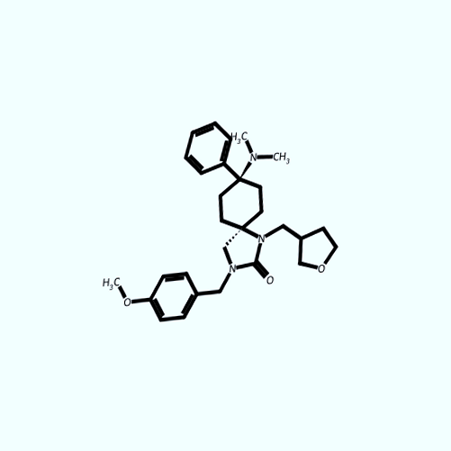 COc1ccc(CN2C[C@]3(CC[C@](c4ccccc4)(N(C)C)CC3)N(CC3CCOC3)C2=O)cc1